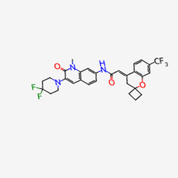 Cn1c(=O)c(N2CCC(F)(F)CC2)cc2ccc(NC(=O)/C=C3\CC4(CCC4)Oc4cc(C(F)(F)F)ccc43)cc21